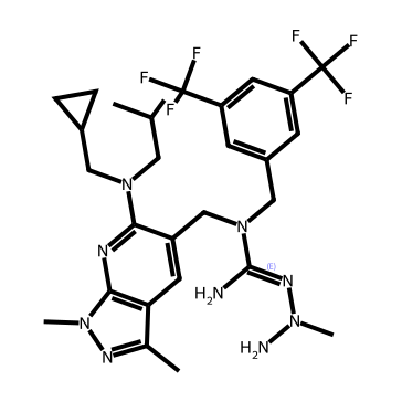 Cc1nn(C)c2nc(N(CC(C)C)CC3CC3)c(CN(Cc3cc(C(F)(F)F)cc(C(F)(F)F)c3)/C(N)=N/N(C)N)cc12